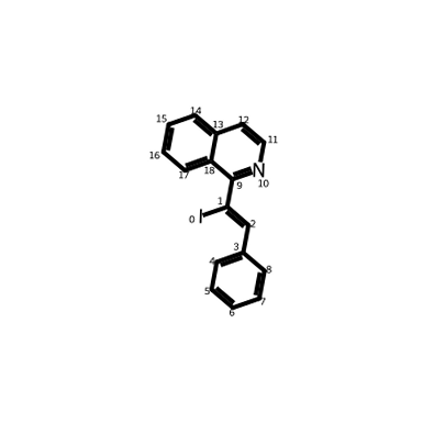 IC(=Cc1ccccc1)c1nccc2ccccc12